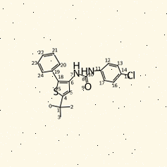 CC(C)(C)c1cc(NC(=O)Nc2ccc(Cl)cc2)c(-c2ccccc2)s1